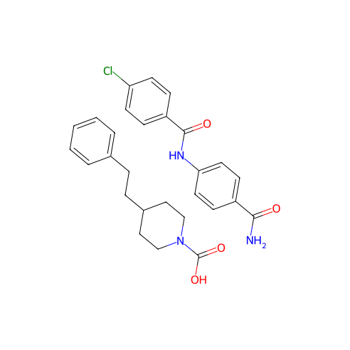 NC(=O)c1ccc(NC(=O)c2ccc(Cl)cc2)cc1.O=C(O)N1CCC(CCc2ccccc2)CC1